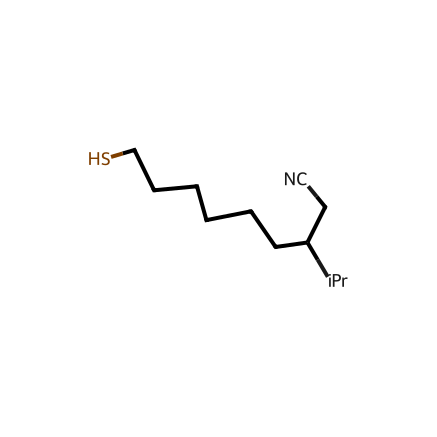 CC(C)C(CC#N)CCCCCCS